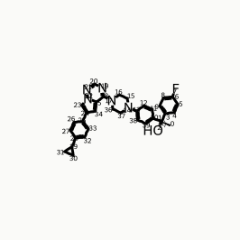 C[C@](O)(c1ccc(F)cc1)c1ccc(N2CCN(c3ncnn4cc(-c5ccc(C6CC6)cc5)cc34)CC2)cc1